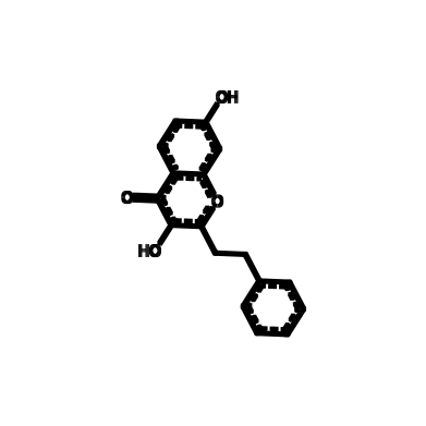 O=c1c(O)c(CCc2ccccc2)oc2cc(O)ccc12